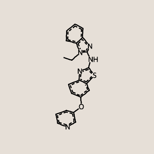 CCn1c(Nc2nc3ccc(Oc4cccnc4)cc3s2)nc2ccccc21